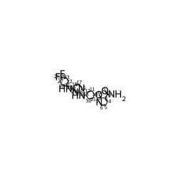 NC(=O)c1cccnc1O[C@H]1CC[C@H](Nc2nccc(NC3CCC(F)(F)CC3)n2)CC1